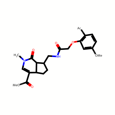 COC(=O)C1=CN(C)C(=O)C2C(CNC(=O)COc3cc(OC)ccc3C(C)=O)CCC12